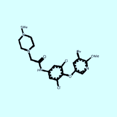 COc1ncc(Oc2c(Cl)cc(NC(=O)CN3CCN(SC)CC3)cc2Cl)cc1C(C)C